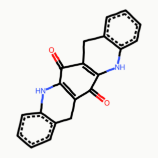 O=C1C2=C(Nc3ccccc3C2)C(=O)C2=C1Nc1ccccc1C2